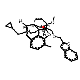 CO[C@]12CC[C@@]3(C[C@H]1COCc1cc4ccccc4s1)[C@H]1Cc4ccc(C)c5c4[C@@]3(CCN1CC1CC1)[C@H]2O5